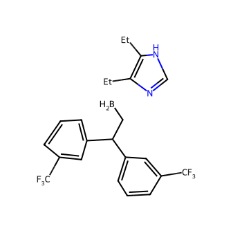 BCC(c1cccc(C(F)(F)F)c1)c1cccc(C(F)(F)F)c1.CCc1nc[nH]c1CC